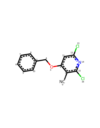 N#Cc1c(OCc2ccccc2)cc(Cl)nc1Cl